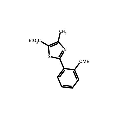 CCOC(=O)c1sc(-c2ccccc2OC)nc1C